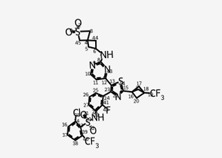 O=S1(=O)CC2(CC(Nc3nccc(-c4sc(C56CC(C(F)(F)F)(C5)C6)nc4-c4cccc(NS(=O)(=O)c5c(Cl)cccc5C(F)(F)F)c4F)n3)C2)C1